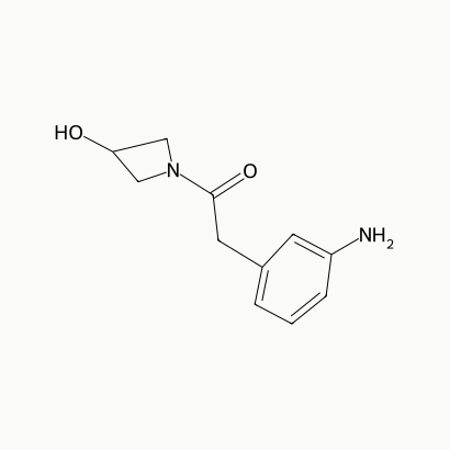 Nc1cccc(CC(=O)N2CC(O)C2)c1